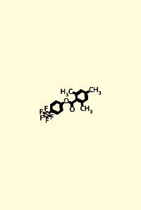 Cc1cc(C)c(C(=O)Oc2ccc(S(F)(F)(F)(F)F)cc2)c(C)c1